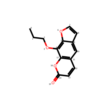 CCCOc1c2occc2cc2ccc(=O)oc12